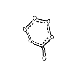 O=c1ooooo1